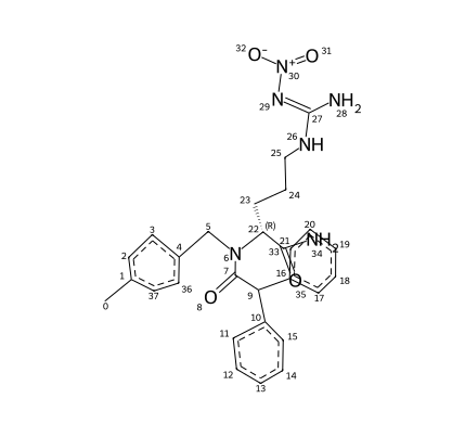 Cc1ccc(CN(C(=O)C(c2ccccc2)c2ccccc2)[C@H](CCCNC(N)=N[N+](=O)[O-])C(N)=O)cc1